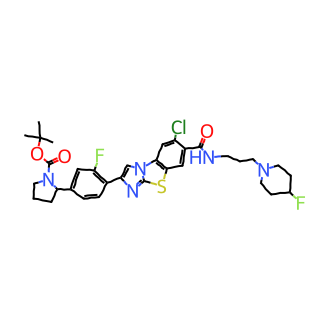 CC(C)(C)OC(=O)N1CCCC1c1ccc(-c2cn3c(n2)sc2cc(C(=O)NCCCN4CCC(F)CC4)c(Cl)cc23)c(F)c1